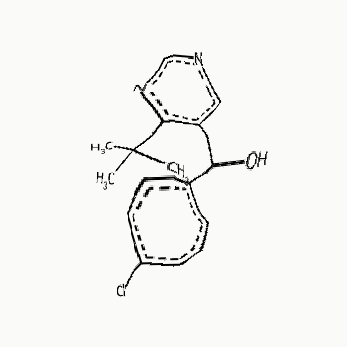 CC(C)(C)c1ncncc1C(O)c1ccc(Cl)cc1